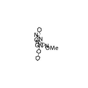 CON=C1C[C@@H](c2noc([C@@H](Cc3ccccc3)N(C)C)n2)N(C(=O)c2ccc(-c3ccccc3)cc2)C1